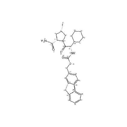 NC(=O)[C@@H]1C[C@H](F)CN1C(=O)[C@@H](NC(=O)OCc1ccc2c(c1)Cc1ccccc1-2)C1CCCCC1